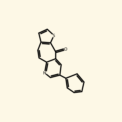 O=c1c2cc(-c3ccccc3)cnc2ccc2ccsc12